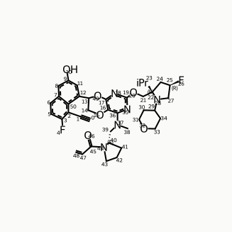 C#Cc1c(F)ccc2cc(O)cc(C3COc4c(nc(OC[C@]5(C(C)C)C[C@@H](F)CN5C5CCOCC5)nc4N(C)C[C@@H]4CCCN4C(=O)C=C)O3)c12